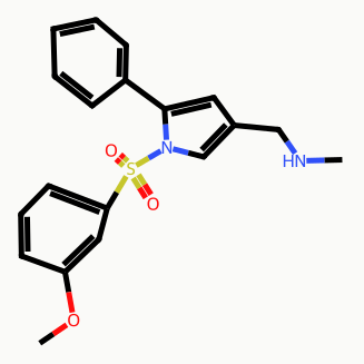 CNCc1cc(-c2ccccc2)n(S(=O)(=O)c2cccc(OC)c2)c1